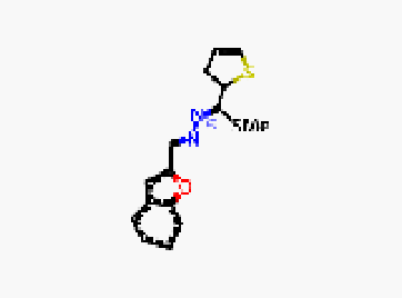 CS/C(=N\N=Cc1cc2ccccc2o1)C1CC=CS1